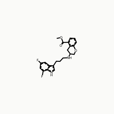 COC(=O)c1cccc2c1CC(NCCCc1c[nH]c3c(F)cc(F)cc13)CO2